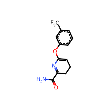 NC(=O)C1=NC(Oc2cccc(C(F)(F)F)c2)=CCC1